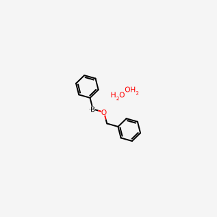 O.O.[B](OCc1ccccc1)c1ccccc1